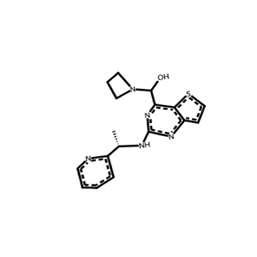 C[C@H](Nc1nc(C(O)N2CCC2)c2sccc2n1)c1ccccn1